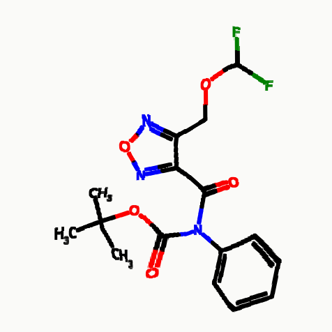 CC(C)(C)OC(=O)N(C(=O)c1nonc1COC(F)F)c1ccccc1